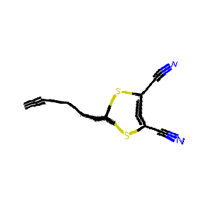 C#CC[C]C1SC(C#N)=C(C#N)S1